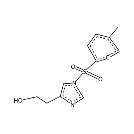 Cc1ccc(S(=O)(=O)n2cnc(CCO)c2)cc1